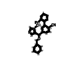 CC(C)c1ccccc1-c1cc(C(OCc2ccccc2)c2cncn2C)ccc1C#N